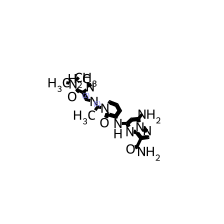 C=N/C(=C\N=C(/C)n1cccc(Nc2cc(N)n3ncc(C(N)=O)c3n2)c1=O)C(=O)N(C)C